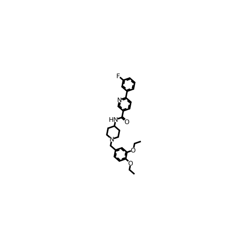 CCOc1ccc(CN2CCC(NC(=O)c3ccc(-c4cccc(F)c4)nc3)CC2)cc1OCC